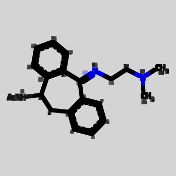 CC(=O)NC1Cc2ccccc2/C(=N\CCN(C)C)c2ccccc21